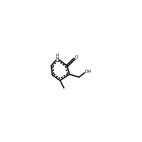 Cc1cc[nH]c(=O)c1CO